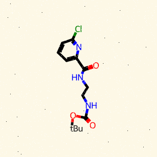 CC(C)(C)OC(=O)NCCNC(=O)c1cccc(Cl)n1